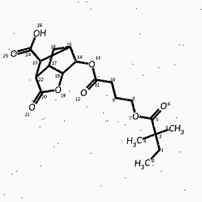 CCC(C)(C)C(=O)OCCCC(=O)OC1C2CC3C1OC(=O)C3C2C(=O)O